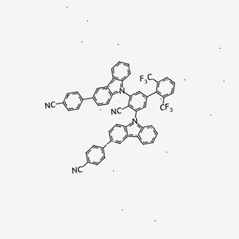 N#Cc1ccc(-c2ccc3c(c2)c2ccccc2n3-c2cc(-c3c(C(F)(F)F)cccc3C(F)(F)F)cc(-n3c4ccccc4c4cc(-c5ccc(C#N)cc5)ccc43)c2C#N)cc1